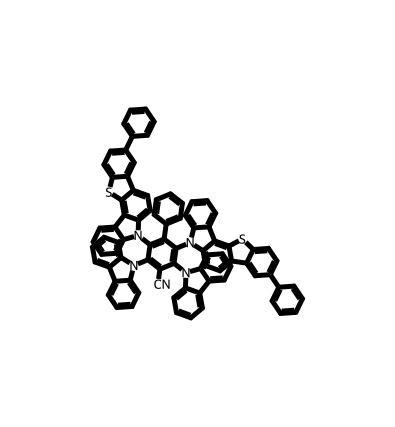 N#Cc1c(-n2c3ccccc3c3ccccc32)c(-n2c3ccccc3c3c4sc5ccc(-c6ccccc6)cc5c4ccc32)c(-c2ccccc2)c(-n2c3ccccc3c3c4sc5ccc(-c6ccccc6)cc5c4ccc32)c1-n1c2ccccc2c2ccccc21